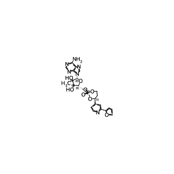 C[C@@]1(O)[C@H](O)[C@@H](CO[P@@]2(=O)OCC[C@@H](c3ccnc(-c4ccco4)c3)O2)O[C@H]1n1cnc2c(N)ncnc21